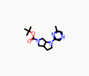 Cc1cncc(N2CCC3CN(C(=O)OC(C)(C)C)CC32)n1